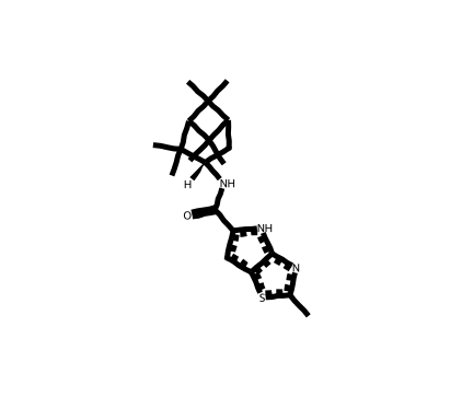 Cc1nc2[nH]c(C(=O)N[C@H]3CC4C(C)(C)C(C4(C)C)C3(C)C)cc2s1